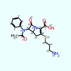 CC(=O)N(c1ccccc1)C1C(=O)N2C(C(=O)O)=C(SCCCN)CC12